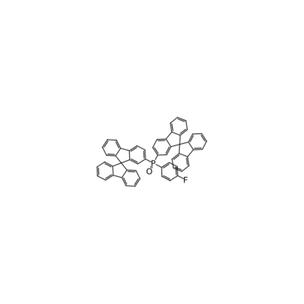 O=P(c1ccc(F)cc1)(c1ccc2c(c1)C1(c3ccccc3-c3ccccc31)c1ccccc1-2)c1ccc2c(c1)C1(c3ccccc3-c3ccccc31)c1ccccc1-2